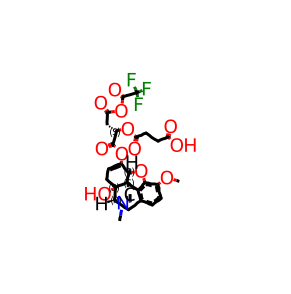 COc1ccc2c3c1O[C@H]1C(OC(=O)[C@H](CC(=O)OC(=O)C(F)(F)F)OC(=O)CCC(=O)O)=CC[C@@]4(O)[C@@H](C2)N(C)CC[C@]314